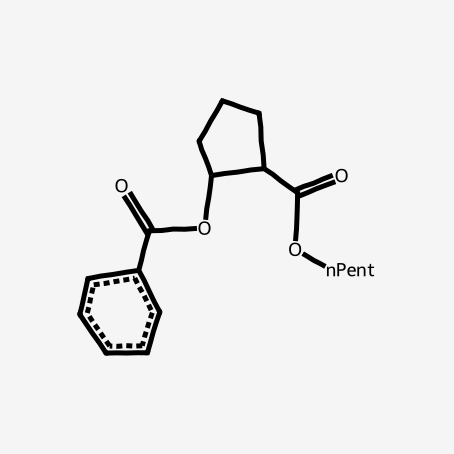 CCCCCOC(=O)C1CCCC1OC(=O)c1ccccc1